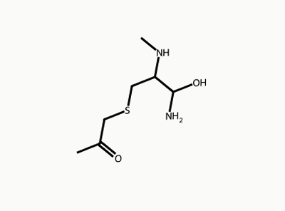 CNC(CSCC(C)=O)C(N)O